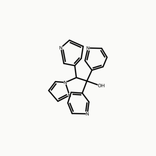 OC(c1cccnc1)(c1cccnc1)C(c1cccnc1)n1cccn1